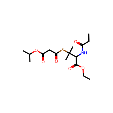 CCOC(=O)C(NC(=O)CC)C(C)(C)SC(=O)CC(=O)OC(C)C